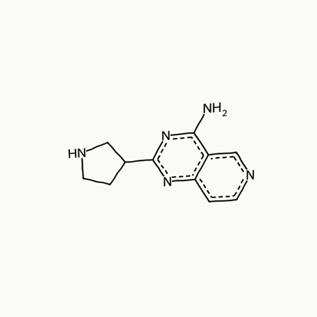 Nc1nc(C2CCNC2)nc2ccncc12